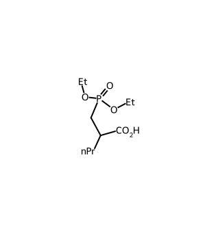 CCCC(CP(=O)(OCC)OCC)C(=O)O